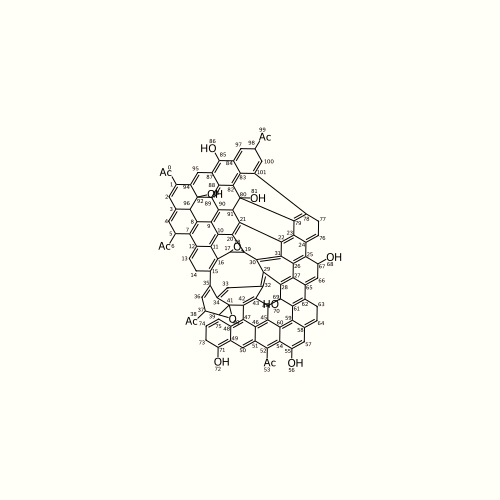 CC(=O)C1=CC2=CC(C(C)=O)c3c4c5c6c7c3=CCC3=C7C7OC78C6=C6c7c9c(c%10c%11c%12c%13c(c8c7%11)=C7C=C8C3=CC(C(C)=O)C3OC83C3=C7C7c8c%11c3c3c(cc%11c(C(C)=O)c%11c(O)cc%14c(c8%11)C(=C(CC=%14)C%12=CC%10O)C%137O)=C(O)CC=C3)=CCC3=C9C7(O)c8c9c(c(O)c%10c8=C(C=5C67)C(O)(C1=C%10)C24)=CC(C(C)=O)C=C39